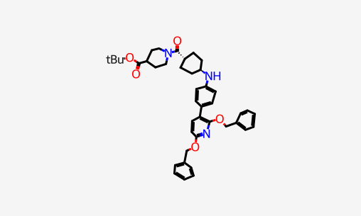 CC(C)(C)OC(=O)C1CCN(C(=O)[C@H]2CC[C@H](Nc3ccc(-c4ccc(OCc5ccccc5)nc4OCc4ccccc4)cc3)CC2)CC1